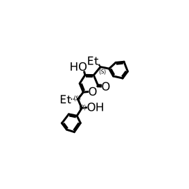 CC[C@@H](c1ccccc1)c1c(O)cc([C@@H](CC)[C@@H](O)c2ccccc2)oc1=O